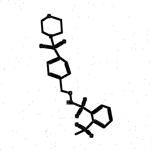 CS(=O)(=O)c1ccccc1S(=O)(=O)NOCc1ccc(S(=O)(=O)N2CCOCC2)cc1